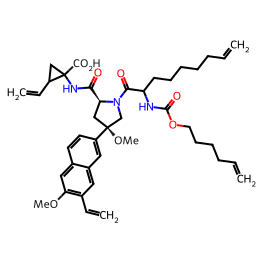 C=CCCCCCC(NC(=O)OCCCCC=C)C(=O)N1C[C@](OC)(c2ccc3cc(OC)c(C=C)cc3c2)C[C@H]1C(=O)NC1(C(=O)O)CC1C=C